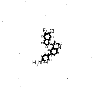 Nc1ccc(-c2ccc3ncnc(N4CCc5cc(F)c(Cl)cc54)c3c2)cn1